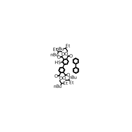 CCCCC(CC)COC(=O)c1ccc(-c2ccc(C(=O)OCC(CC)CCCC)c(C(=O)OCC(CC)CCCC)c2S)cc1C(=O)OCC(CC)CCCC.c1ccc(-c2ccccc2)cc1